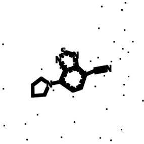 N#Cc1ccc(N2CCCC2)c2nsnc12